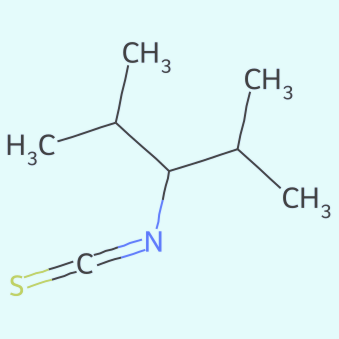 CC(C)C(N=C=S)C(C)C